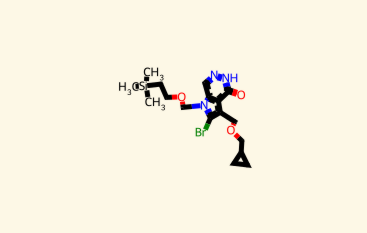 C[Si](C)(C)CCOCn1c(Br)c(COCC2CC2)c2c(=O)[nH]ncc21